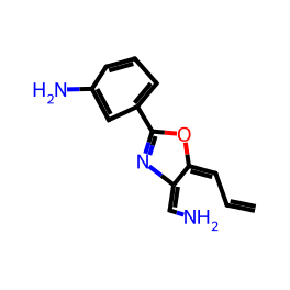 C=C/C=c1/oc(-c2cccc(N)c2)n/c1=C/N